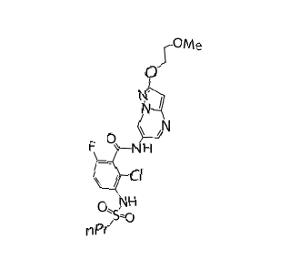 CCCS(=O)(=O)Nc1ccc(F)c(C(=O)Nc2cnc3cc(OCCOC)nn3c2)c1Cl